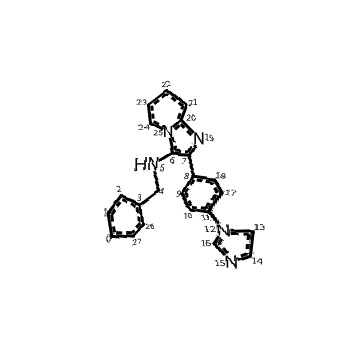 c1ccc(CNc2c(-c3ccc(-n4ccnc4)cc3)nc3ccccn23)cc1